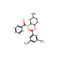 CC(C)(C)C1CCC(OC(=O)c2cc([N+](=O)[O-])cc([N+](=O)[O-])c2)C(OC(=O)c2ccccc2)C1